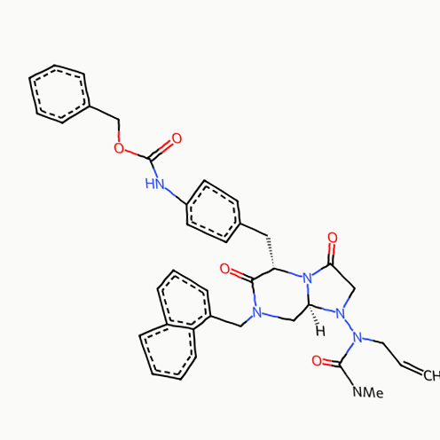 C=CCN(C(=O)NC)N1CC(=O)N2[C@@H](Cc3ccc(NC(=O)OCc4ccccc4)cc3)C(=O)N(Cc3cccc4ccccc34)C[C@@H]21